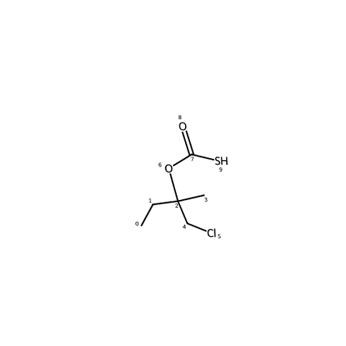 CCC(C)(CCl)OC(=O)S